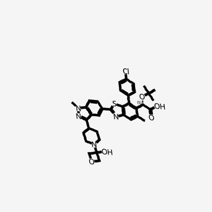 Cc1cc2nc(-c3ccc4c(c3)c(C3CCN(C5(O)COC5)CC3)nn4C)sc2c(-c2ccc(Cl)cc2)c1[C@H](OC(C)(C)C)C(=O)O